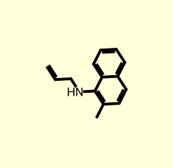 C=CCNc1c(C)ccc2ccccc12